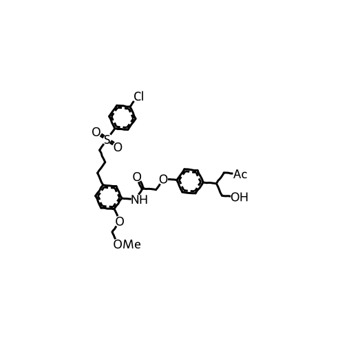 COCOc1ccc(CCCS(=O)(=O)c2ccc(Cl)cc2)cc1NC(=O)COc1ccc(C(CO)CC(C)=O)cc1